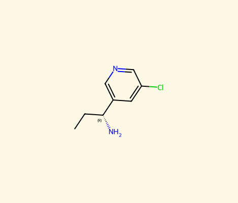 CC[C@@H](N)c1cncc(Cl)c1